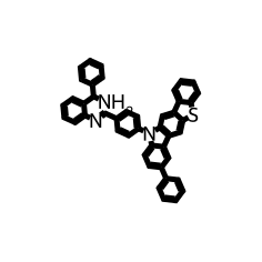 NC(c1ccccc1)c1ccccc1/N=C/c1ccc(-n2c3ccc(-c4ccccc4)cc3c3cc4sc5ccccc5c4cc32)cc1